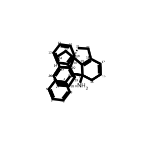 NC1(P(c2ccccc2)c2ccccc2)CC=CC2=C1[C@]1(CC2)CCc2ccccc21